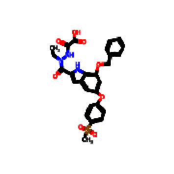 CCN(NC(=O)C(=O)O)C(=O)c1cc2cc(Oc3ccc(S(C)(=O)=O)cc3)cc(OCc3ccccc3)c2[nH]1